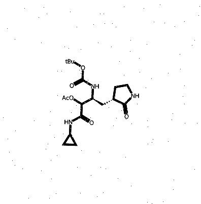 CC(=O)OC(C(=O)NC1CC1)[C@H](C[C@@H]1CCNC1=O)NC(=O)OC(C)(C)C